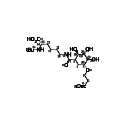 CCCCCCCCCCCCO[C@@H]1CC(C(=O)NCCCC[C@H](NC(C)(C)C)C(=O)O)[C@@H](O)[C@H](O)[C@H]1O